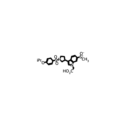 CC(C)OC1=CCC(S(=O)(=O)N2CCC(c3cn(CC(=O)O)c4cc([S+](C)[O-])ccc34)C2)C=C1